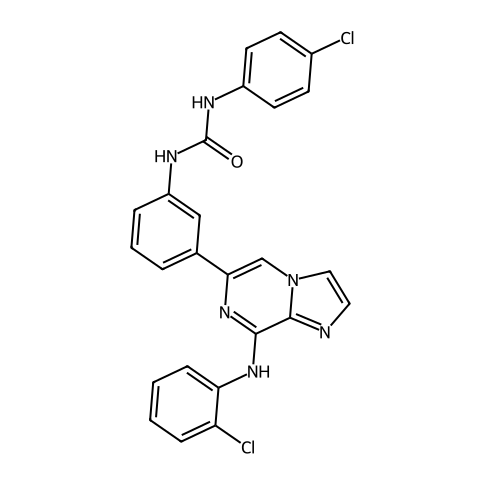 O=C(Nc1ccc(Cl)cc1)Nc1cccc(-c2cn3ccnc3c(Nc3ccccc3Cl)n2)c1